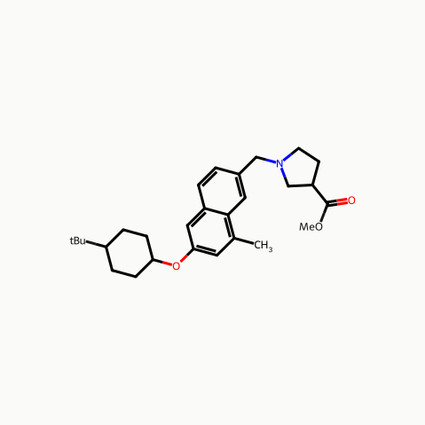 COC(=O)C1CCN(Cc2ccc3cc(OC4CCC(C(C)(C)C)CC4)cc(C)c3c2)C1